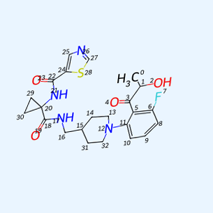 CC(O)C(=O)c1c(F)cccc1N1CCC(CNC(=O)C2(NC(=O)c3cncs3)CC2)CC1